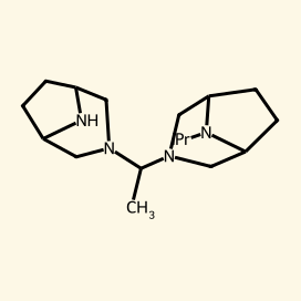 CC(N1CC2CCC(C1)N2)N1CC2CCC(C1)N2C(C)C